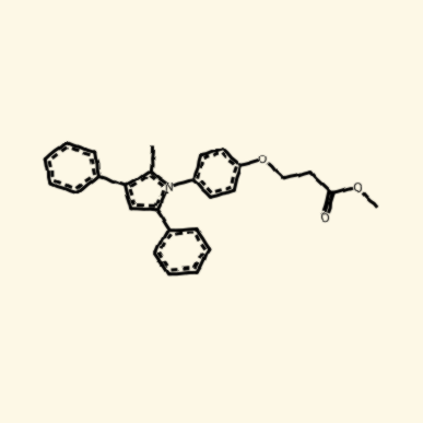 COC(=O)CCOc1ccc(-n2c(-c3ccccc3)cc(-c3ccccc3)c2C)cc1